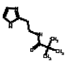 CC(C)(C)C(=O)NCCc1ncc[nH]1